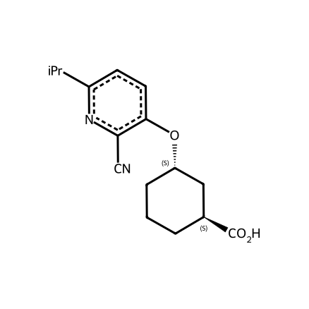 CC(C)c1ccc(O[C@H]2CCC[C@H](C(=O)O)C2)c(C#N)n1